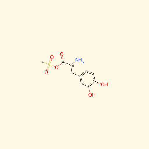 CS(=O)(=O)OC(=O)[C@H](N)Cc1ccc(O)c(O)c1